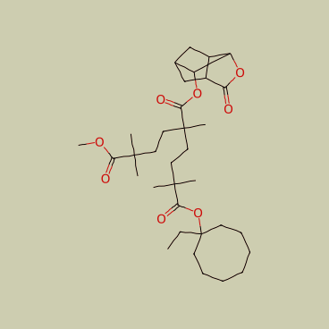 CCC1(OC(=O)C(C)(C)CCC(C)(CCC(C)(C)C(=O)OC)C(=O)OC2C3CC4C(=O)OC2C4C3)CCCCCCC1